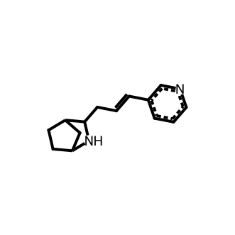 C(=Cc1cccnc1)CC1NC2CCC1C2